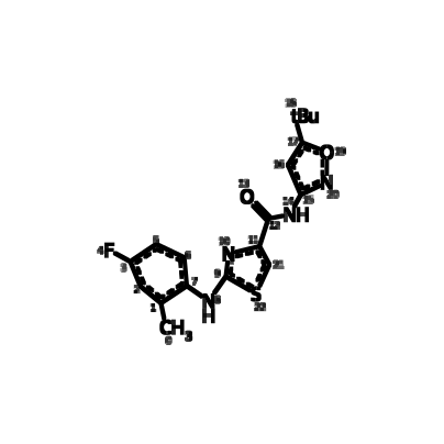 Cc1cc(F)ccc1Nc1nc(C(=O)Nc2cc(C(C)(C)C)on2)cs1